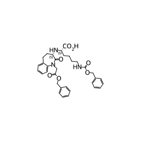 O=C(CN1C(=O)[C@@H](N[C@@H](CCCCNC(=O)OCc2ccccc2)C(=O)O)CCc2ccccc21)OCc1ccccc1